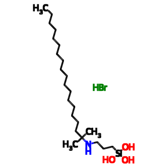 Br.CCCCCCCCCCCCCCCCCC(C)(C)NCCC[Si](O)(O)O